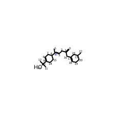 C=C(C/C=C(\C)C1CC=C(C(C)(C)O)CC1)CC1=CCCC(C)C1